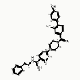 O=C(c1ccc(-c2ccc(O)cc2)c(F)c1)N1CCN(c2ccc(C(O)NSCc3ccccc3)nn2)CC1